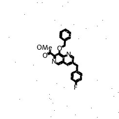 COC(=O)c1ncc2cc(Cc3ccc(F)cc3)cnc2c1OCc1ccccc1